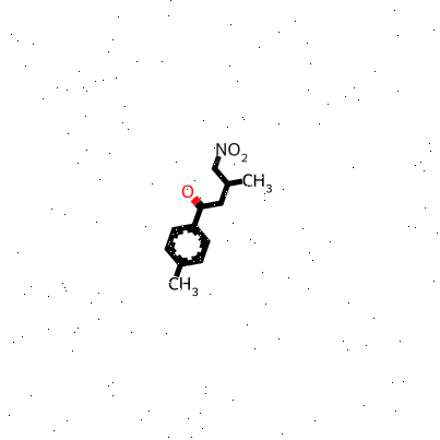 Cc1ccc(C(=O)CC(C)C[N+](=O)[O-])cc1